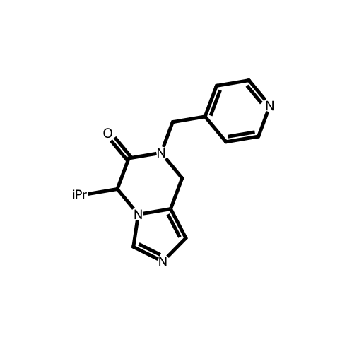 CC(C)C1C(=O)N(Cc2ccncc2)Cc2cncn21